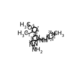 CCc1c(OC)cccc1-c1cc2cnc(N)nc2c(NCCN2CCN(C)CC2)n1